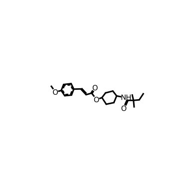 CCC(C)(C)C(=O)NC1CCC(OC(=O)/C=C/c2ccc(OC)cc2)CC1